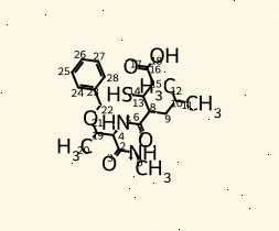 CNC(=O)[C@H](NC(=O)C(CC(C)C)C(S)CC(=O)O)[C@@H](C)OCc1ccccc1